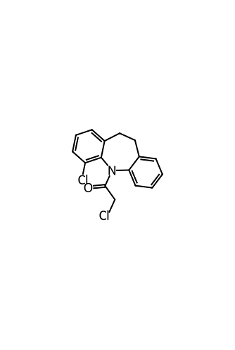 O=C(CCl)N1c2ccccc2CCc2cccc(Cl)c21